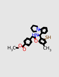 CCOC(=O)c1ccc(CC(=O)NC(c2ccc(C)cc2S)c2ccccc2N2CCCCC2)cc1